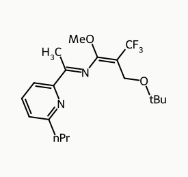 CCCc1cccc(/C(C)=N/C(OC)=C(\COC(C)(C)C)C(F)(F)F)n1